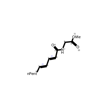 CCCCC/C=C/C=C/C(=O)NCC(=O)OC